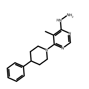 Cc1c(NN)ncnc1N1CCC(c2ccccc2)CC1